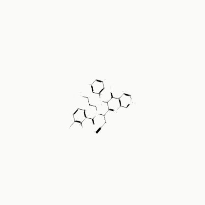 C#CCC(C1=Nc2cnccc2C(=O)C1Nc1ccccc1)N(CCCN)C(=O)c1c(F)ccc(C)c1F